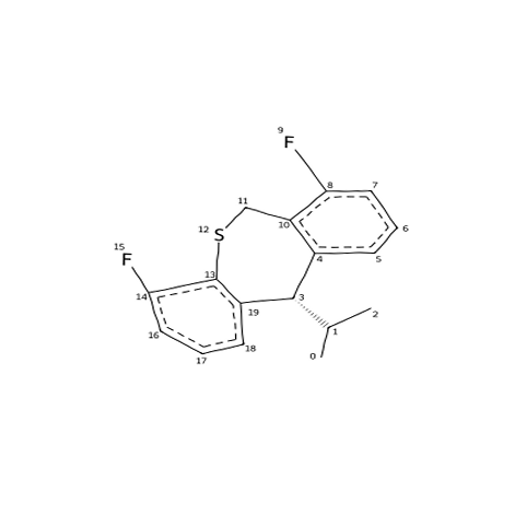 CC(C)[C@H]1c2cccc(F)c2CSc2c(F)cccc21